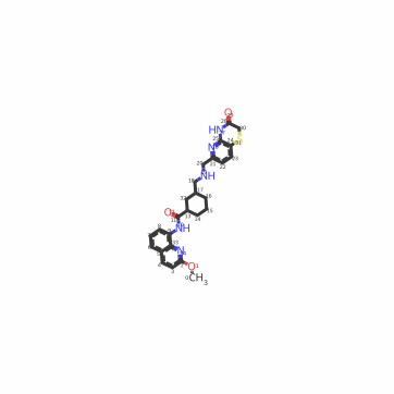 COc1ccc2cccc(NC(=O)C3CCCC(CNCc4ccc5c(n4)NC(=O)CS5)C3)c2n1